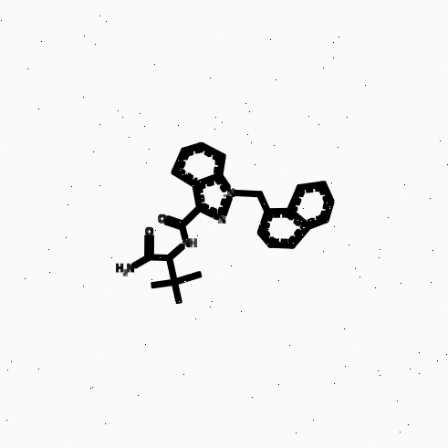 CC(C)(C)C(NC(=O)c1nn(Cc2cccc3ccccc23)c2ccccc12)C(N)=O